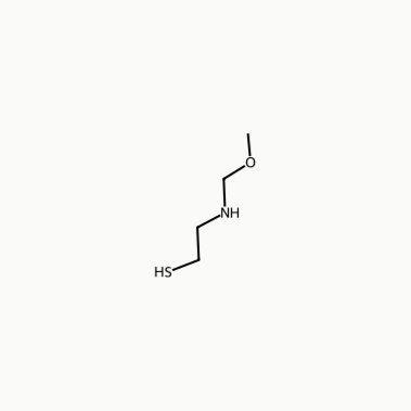 COCNCCS